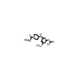 CCCCOC(=O)N1CCC(Nc2cc(C(=O)O)nc(OC(CC)CC)n2)CC1